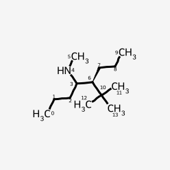 CCCC(NC)[C@@H](CCC)C(C)(C)C